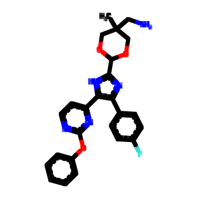 CC1(CN)COC(c2nc(-c3ccc(F)cc3)c(-c3ccnc(Oc4ccccc4)n3)[nH]2)OC1